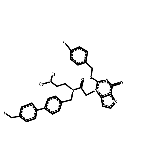 CCN(CC)CCN(Cc1ccc(-c2ccc(CF)cc2)cc1)C(=O)Cn1c(SCc2ccc(F)cc2)nc(=O)c2sccc21